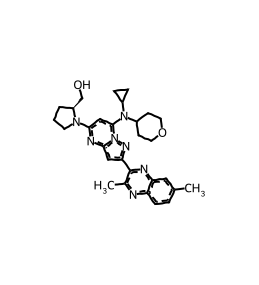 Cc1ccc2nc(C)c(-c3cc4nc(N5CCC[C@H]5CO)cc(N(C5CCOCC5)C5CC5)n4n3)nc2c1